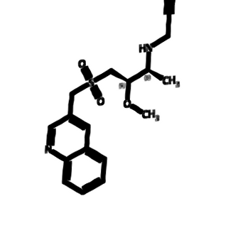 CO[C@@H](CS(=O)(=O)Cc1cnc2ccccc2c1)[C@H](C)NCC#N